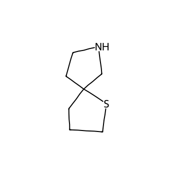 C1CSC2(C1)CCNC2